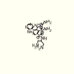 NCC(CN)NS(=O)(=O)c1ccc(-c2cccnc2N)c(/C(N)=N/NN)c1S(N)(=O)=O